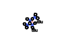 CC(C)(C)c1ccc(N2c3ccc(C(C)(C)C)cc3B3c4cc(-n5c6ccccc6c6ccccc65)ccc4N(c4ccccc4)c4cc(-n5c6ccccc6c6ccccc65)cc2c43)cc1